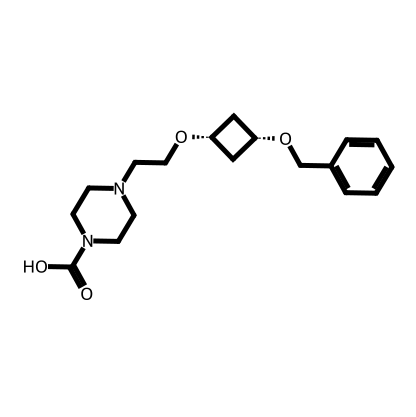 O=C(O)N1CCN(CCO[C@H]2C[C@@H](OCc3ccccc3)C2)CC1